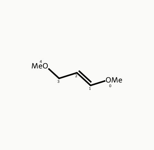 COC=CCOC